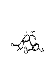 COC(=O)c1c(C)nc2c(c1-c1ccc(Cl)cc1Cl)CN(C)C2=O